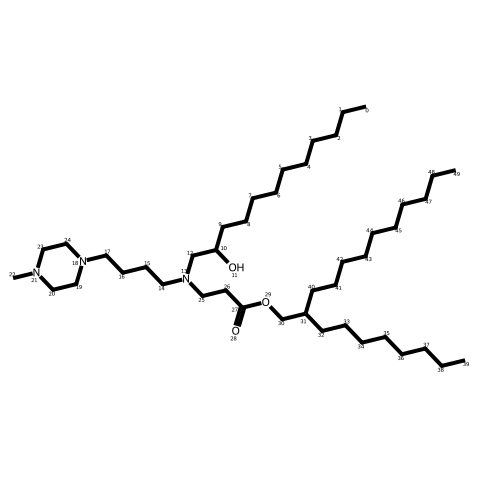 CCCCCCCCCCC(O)CN(CCCCN1CCN(C)CC1)CCC(=O)OCC(CCCCCCCC)CCCCCCCCCC